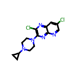 Clc1cnc2nc(N3CCN(C4CC4)CC3)c(Cl)nc2c1